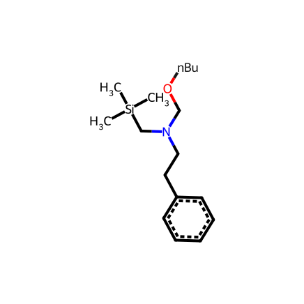 CCCCOCN(CCc1ccccc1)C[Si](C)(C)C